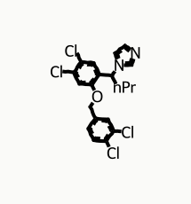 CCCC(c1cc(Cl)c(Cl)cc1OCc1ccc(Cl)c(Cl)c1)n1ccnc1